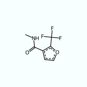 CNC(=O)c1ccoc1C(F)(F)F